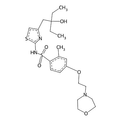 CCC(O)(CC)Cc1csc(NS(=O)(=O)c2ccc(OCCN3CCOCC3)cc2C)n1